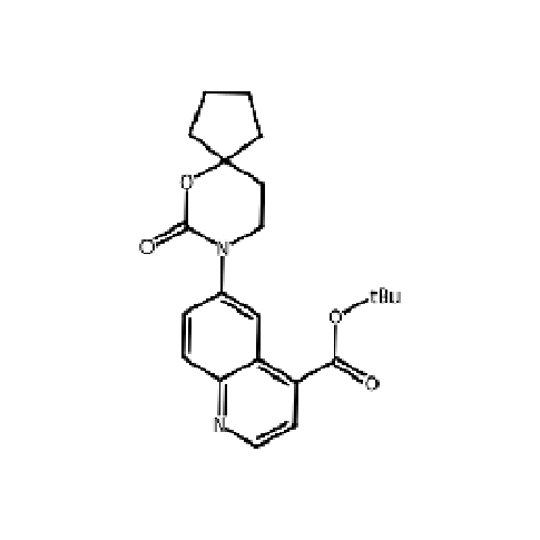 CC(C)(C)OC(=O)c1ccnc2ccc(N3CCC4(CCCC4)OC3=O)cc12